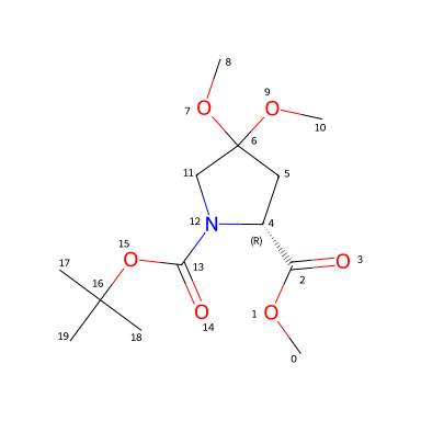 COC(=O)[C@H]1CC(OC)(OC)CN1C(=O)OC(C)(C)C